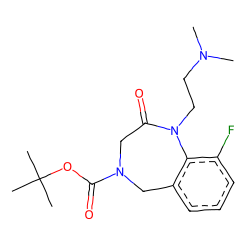 CN(C)CCN1C(=O)CN(C(=O)OC(C)(C)C)Cc2cccc(F)c21